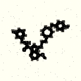 COc1cccc2c(C(=O)NCc3cccc(C)c3)cn(CCCN3CCCN(Cc4ccc(F)cc4)CC3)c12